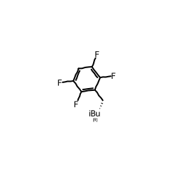 CC[C@@H](C)Cc1c(F)c(F)cc(F)c1F